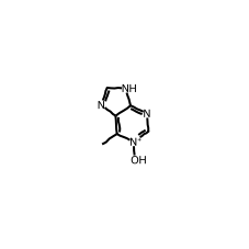 Cc1c2nc[nH]c2nc[n+]1O